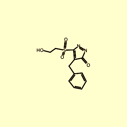 O=C1N=NC(S(=O)(=O)CCO)=C1Cc1ccccc1